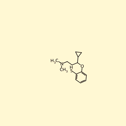 CN(C)CCC(Oc1ccccc1S)C1CC1